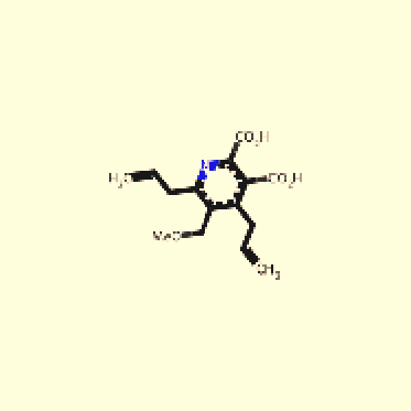 C=CCc1nc(C(=O)O)c(C(=O)O)c(CC=C)c1COC